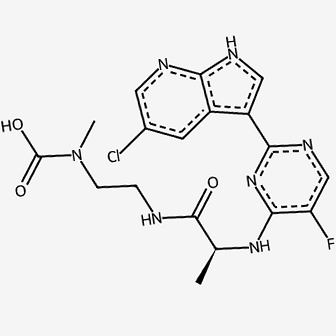 C[C@H](Nc1nc(-c2c[nH]c3ncc(Cl)cc23)ncc1F)C(=O)NCCN(C)C(=O)O